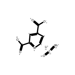 O=C([O-])c1ccnc(C(=O)[O-])c1.O=[C]=[Rh+].[Li+]